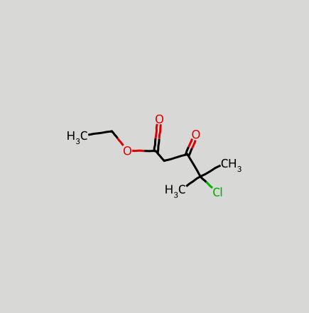 CCOC(=O)CC(=O)C(C)(C)Cl